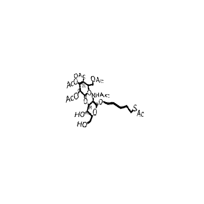 CC(=O)NC1[C@H](OCCCCCSC(C)=O)OC(CO)[C@H](O)[C@@H]1O[C@@H]1OC(COC(C)=O)[C@H](OC(C)=O)C(OC(C)=O)[C@@H]1OC(C)=O